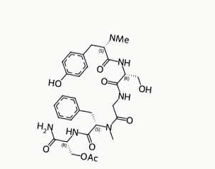 CN[C@@H](Cc1ccc(O)cc1)C(=O)N[C@H](CO)C(=O)NCC(=O)N(C)[C@@H](Cc1ccccc1)C(=O)N[C@H](COC(C)=O)C(N)=O